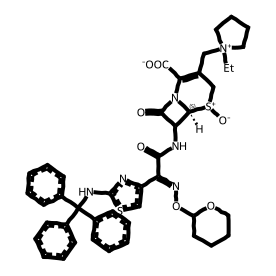 CC[N+]1(CC2=C(C(=O)[O-])N3C(=O)C(NC(=O)C(=NOC4CCCCO4)c4csc(NC(c5ccccc5)(c5ccccc5)c5ccccc5)n4)[C@@H]3[S+]([O-])C2)CCCC1